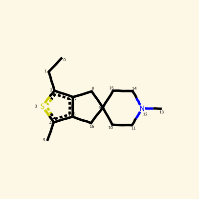 CCc1sc(C)c2c1CC1(CCN(C)CC1)C2